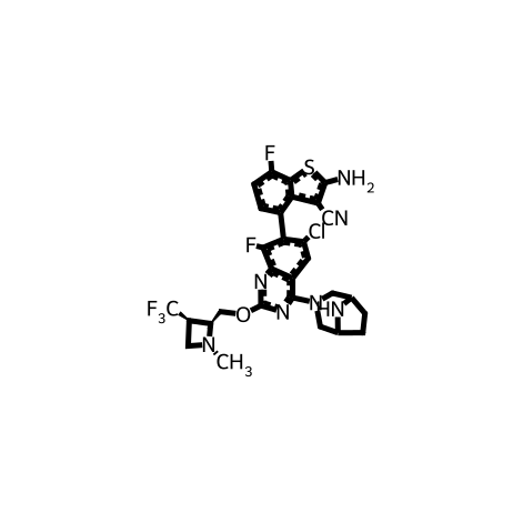 CN1C[C@@H](C(F)(F)F)[C@H]1COc1nc(N2CC3CCC(C2)N3)c2cc(Cl)c(-c3ccc(F)c4sc(N)c(C#N)c34)c(F)c2n1